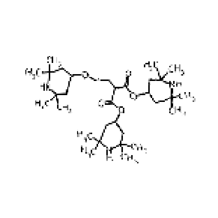 CC1(C)CC(OCCC(C(=O)OC2CC(C)(C)NC(C)(C)C2)C(=O)OC2CC(C)(C)NC(C)(C)C2)CC(C)(C)N1